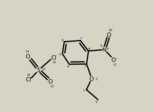 CCOc1ccccc1[N+](=O)[O-].O=S(=O)(Cl)Cl